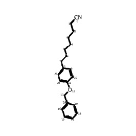 N#CCCCCCCCc1ccc(OCc2ccccc2)cc1